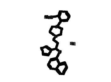 COc1ccccc1N1CCN(CCC(Oc2cccc3ccccc23)c2ccsc2)CC1.Cl